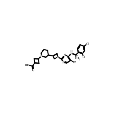 C[C@@H](Nc1nc(N2CC(C3CCCN(C4CC(C(=O)O)C4)C3)C2)ncc1Br)c1ccc(Cl)cc1Cl